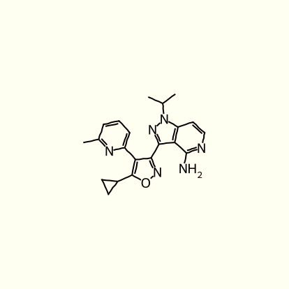 Cc1cccc(-c2c(-c3nn(C(C)C)c4ccnc(N)c34)noc2C2CC2)n1